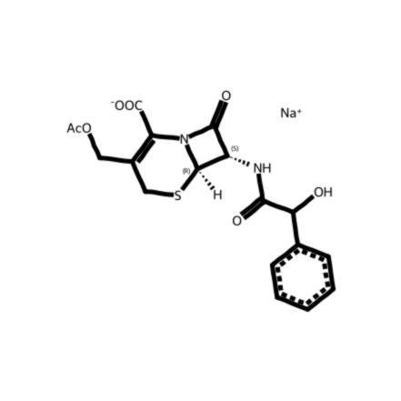 CC(=O)OCC1=C(C(=O)[O-])N2C(=O)[C@H](NC(=O)C(O)c3ccccc3)[C@H]2SC1.[Na+]